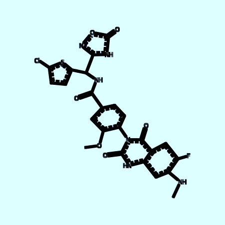 CNc1cc2[nH]c(=O)n(-c3ccc(C(=O)NC(c4noc(=O)[nH]4)c4ccc(Cl)s4)cc3OC)c(=O)c2cc1F